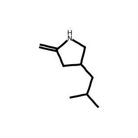 C=C1CC(CC(C)C)CN1